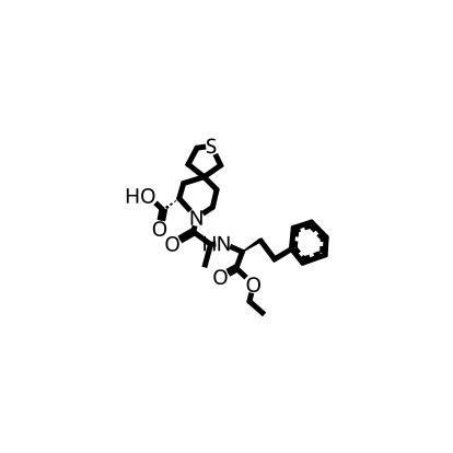 CCOC(=O)[C@H](CCc1ccccc1)NC(C)C(=O)N1CCC2(CCSC2)C[C@H]1C(=O)O